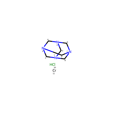 C1N2CN3CN1CN(C2)C3.Cl.[Cr]